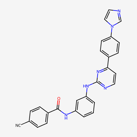 N#Cc1ccc(C(=O)Nc2cccc(Nc3nccc(-c4ccc(-n5ccnc5)cc4)n3)c2)cc1